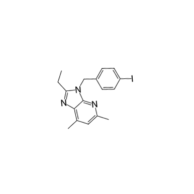 CCc1nc2c(C)cc(C)nc2n1Cc1ccc(I)cc1